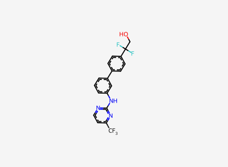 OCC(F)(F)c1ccc(-c2cccc(Nc3nccc(C(F)(F)F)n3)c2)cc1